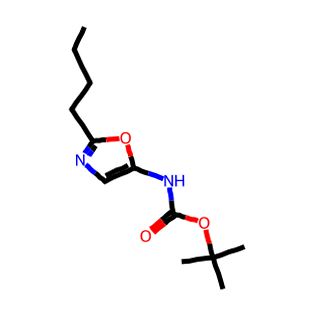 CCCCc1ncc(NC(=O)OC(C)(C)C)o1